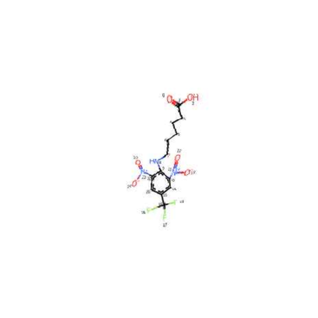 O=C(O)CCCCCNc1c([N+](=O)[O-])cc(C(F)(F)F)cc1[N+](=O)[O-]